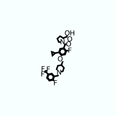 O=C(O)C1CCCN1C(=O)c1cc(C2CC2)c(OCC2CCN(Cc3cc(C(F)(F)F)ccc3F)CC2)cc1F